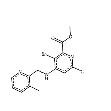 COC(=O)c1nc(Cl)cc(NCc2ncccc2C)c1Br